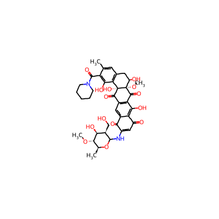 CO[C@@H]1[C@@H](O)[C@@H](CO)C(NC2=CC(=O)c3c(cc4c(c3O)C(=O)[C@]3(OC)[C@H](O)Cc5cc(C)c(C(=O)N6CCCCC6)c(O)c5[C@]3(O)C4=O)C2=O)O[C@H]1C